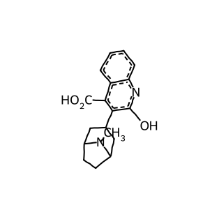 CN1C2CCC1CC(c1c(O)nc3ccccc3c1C(=O)O)C2